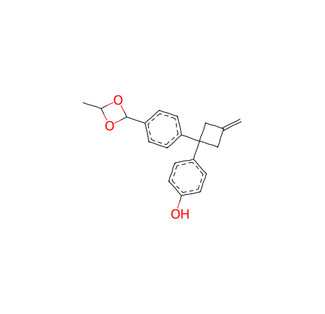 C=C1CC(c2ccc(O)cc2)(c2ccc(C3OC(C)O3)cc2)C1